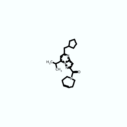 CC(C)c1cc(CC2CCCC2)nc2cc(C(=O)N3CCC=CCC3)nn12